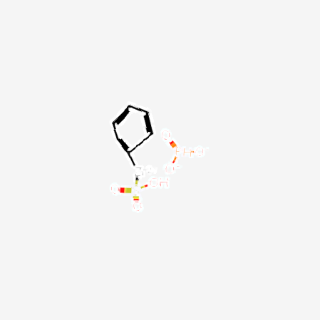 O=[PH]([O-])[O-].O=[S](=O)(O)[Zr+2][c]1ccccc1